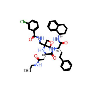 CC(C)(C)CNC(=O)C[C@H](NC1(CNC(=O)c2cccc(Cl)c2)COC1)C(=O)N[C@@H](CCc1ccccc1)C(=O)N[C@@H]1CCCc2ccccc21